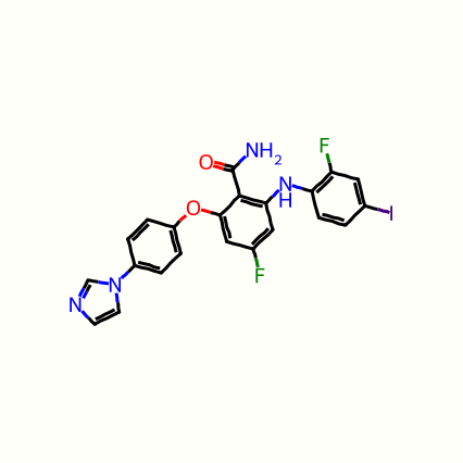 NC(=O)c1c(Nc2ccc(I)cc2F)cc(F)cc1Oc1ccc(-n2ccnc2)cc1